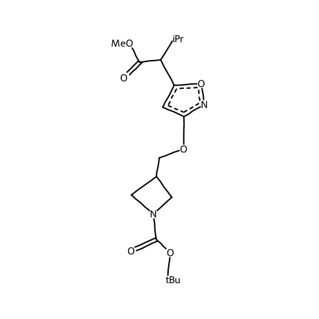 COC(=O)C(c1cc(OCC2CN(C(=O)OC(C)(C)C)C2)no1)C(C)C